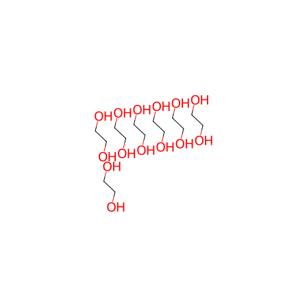 OCCO.OCCO.OCCO.OCCO.OCCO.OCCO.OCCO